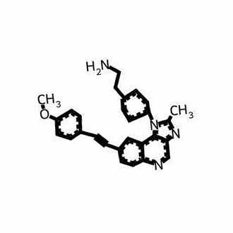 COc1ccc(C#Cc2ccc3ncc4nc(C)n(-c5ccc(CCN)cc5)c4c3c2)cc1